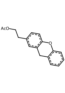 CC(=O)OCCc1ccc2c(c1)Cc1ccccc1O2